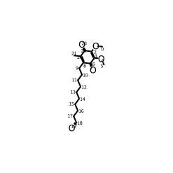 COC1=C(OC)C(=O)C(CCCCCCCCC[C]=O)=C(C)C1=O